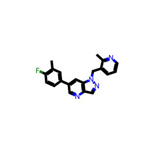 Cc1cc(-c2cnc3cnn(Cc4cccnc4C)c3c2)ccc1F